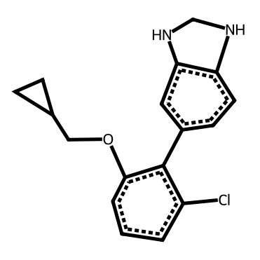 Clc1cccc(OCC2CC2)c1-c1ccc2c(c1)NCN2